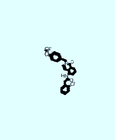 O=C(Cc1ccccc1Cl)Nc1cccc2c(=O)n(Cc3ccc(OC(F)(F)F)cc3)ccc12